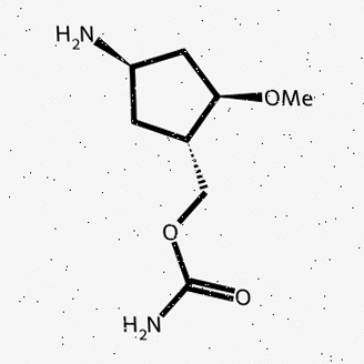 CO[C@@H]1C[C@H](N)C[C@H]1COC(N)=O